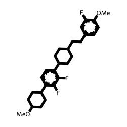 COc1ccc(CCC2CCC(c3ccc(C4CCC(OC)CC4)c(F)c3F)CC2)cc1F